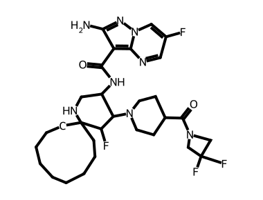 Nc1nn2cc(F)cnc2c1C(=O)NC1CNC2(CCCCCCCCC2)C(F)C1N1CCC(C(=O)N2CC(F)(F)C2)CC1